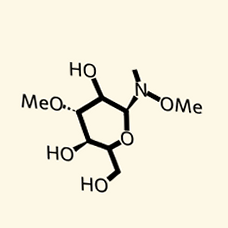 CO[C@@H]1C(O)[C@@H](N(C)OC)OC(CO)[C@H]1O